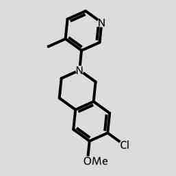 COc1cc2c(cc1Cl)CN(c1cnccc1C)CC2